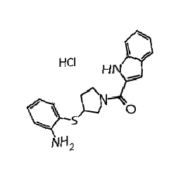 Cl.Nc1ccccc1SC1CCN(C(=O)c2cc3ccccc3[nH]2)C1